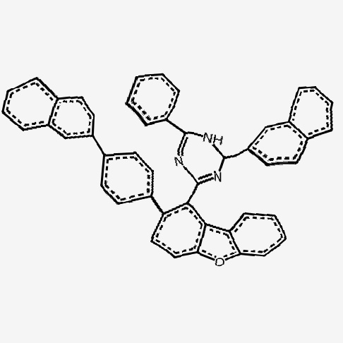 c1ccc(C2=NC(c3c(-c4ccc(-c5ccc6ccccc6c5)cc4)ccc4oc5ccccc5c34)=NC(c3ccc4ccccc4c3)N2)cc1